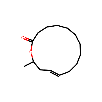 CC1C/C=C/CCCCCCCCCC(=O)O1